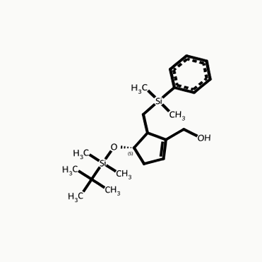 CC(C)(C)[Si](C)(C)O[C@H]1CC=C(CO)C1C[Si](C)(C)c1ccccc1